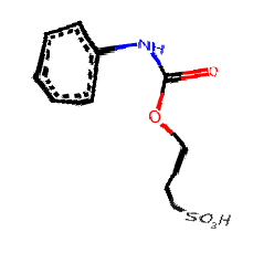 O=C(Nc1ccccc1)OCCS(=O)(=O)O